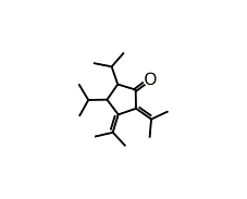 CC(C)=C1C(=O)C(C(C)C)C(C(C)C)C1=C(C)C